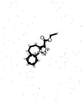 CCOC(=O)c1nnn2c1CCCc1ccccc1-2